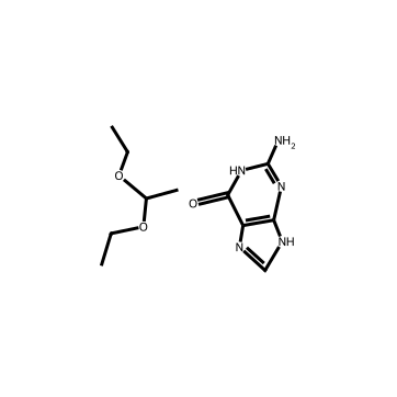 CCOC(C)OCC.Nc1nc2[nH]cnc2c(=O)[nH]1